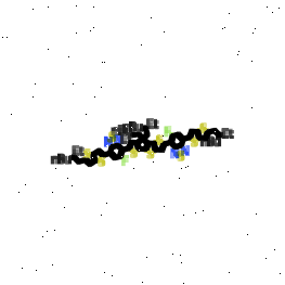 CCCCC(CC)Cc1cc2sc(-c3cc(F)c(-c4cc5c(s4)-c4sc6cc(-c7c(F)cc(-c8cc9sc(CC(CC)CCCC)cc9s8)c8nsnc78)sc6c4C5(CC(CC)CCCC)CC(CC)CCCC)c4nsnc34)cc2s1